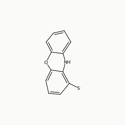 [S]c1cccc2c1Nc1ccccc1O2